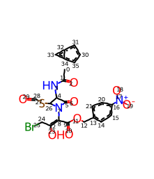 CC(=O)NC1C(=O)N(C(C(=O)OCc2ccc([N+](=O)[O-])cc2)=C(O)CBr)C1SC=O.c1cc2cc-2c1